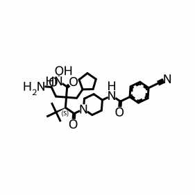 CC(C)(C)[C@H](C(=O)N1CCC(NC(=O)c2ccc(C#N)cc2)CC1)C(CC(N)=O)(CC1CCCC1)C(=O)NO